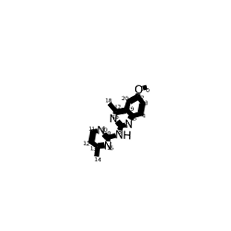 COc1ccc2nc(Nc3nccc(C)n3)nc(C)c2c1